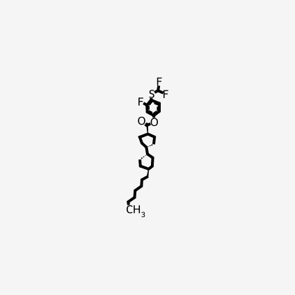 CCCCCCC[C@H]1CC[C@H]([C@H]2CC[C@H](C(=O)Oc3ccc(SC(F)F)c(F)c3)CC2)CC1